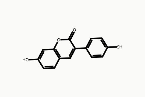 O=c1oc2cc(O)ccc2cc1-c1ccc(S)cc1